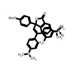 CCN(CC)c1ccc(C(=CC2(c3ccc(OC)cc3)OC(=O)c3cc(N(C)C)ccc32)c2ccc(N(C)C)cc2)c(C)c1